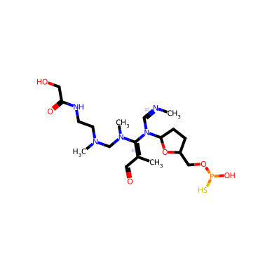 C/N=C\N(/C(=C(\C)C=O)N(C)CN(C)CCNC(=O)CO)C1CCC(COP(O)S)O1